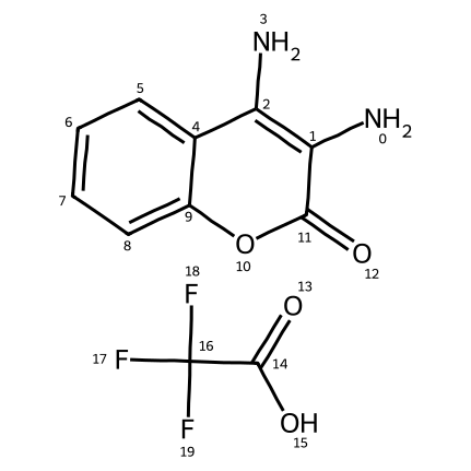 Nc1c(N)c2ccccc2oc1=O.O=C(O)C(F)(F)F